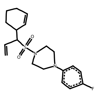 C=CC(C1C=CCCC1)S(=O)(=O)N1CCN(c2ccc(F)cc2)CC1